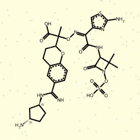 CC(ON=C(C(=O)NC1C(=O)N(OS(=O)(=O)O)C1(C)C)c1csc(N)n1)(C(=O)O)C1CCc2cc(C(=N)N[C@H]3CC[C@H](N)C3)ccc2O1